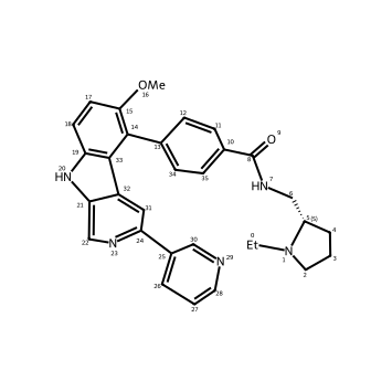 CCN1CCC[C@H]1CNC(=O)c1ccc(-c2c(OC)ccc3[nH]c4cnc(-c5cccnc5)cc4c23)cc1